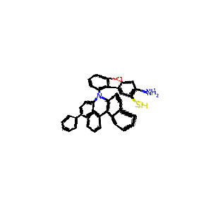 Nc1cc2oc3cccc(N(c4ccc(-c5ccccc5)cc4)c4ccc5ccccc5c4-c4ccccc4)c3c2cc1S